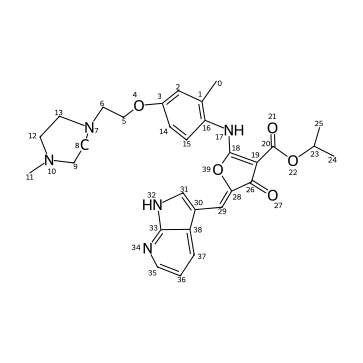 Cc1cc(OCCN2CCN(C)CC2)ccc1NC1=C(C(=O)OC(C)C)C(=O)/C(=C/c2c[nH]c3ncccc23)O1